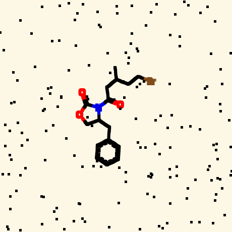 CC(CCBr)CC(=O)N1C(=O)OCC1Cc1ccccc1